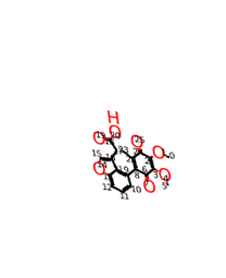 COC1=C(OC)C(=O)C(c2cccc3occ(CC(=O)O)c23)=C(C)C1=O